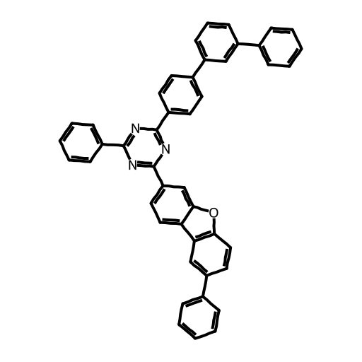 c1ccc(-c2cccc(-c3ccc(-c4nc(-c5ccccc5)nc(-c5ccc6c(c5)oc5ccc(-c7ccccc7)cc56)n4)cc3)c2)cc1